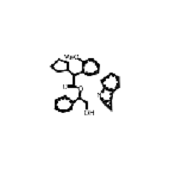 COc1ccccc1C(C(=O)OC(CO)c1ccccc1)C1CCCC1.c1ccc2c3cc-3nc2c1